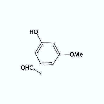 CC=O.COc1cccc(O)c1